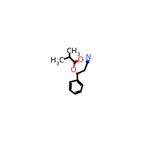 CC(C)C(=O)OC(CC#N)c1ccccc1